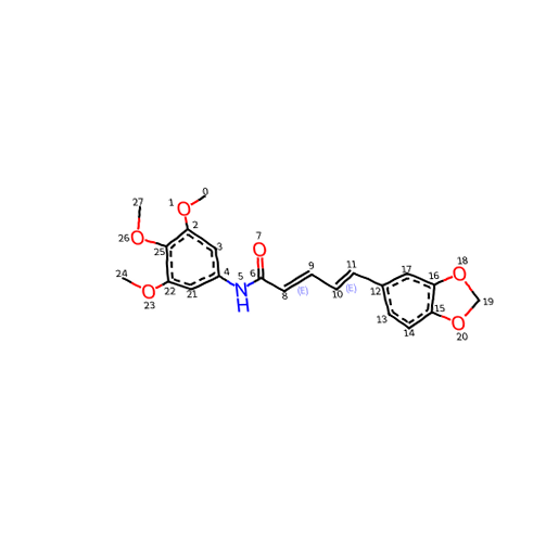 COc1cc(NC(=O)/C=C/C=C/c2ccc3c(c2)OCO3)cc(OC)c1OC